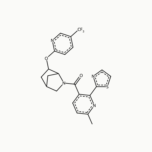 Cc1ccc(C(=O)N2CC3CC(Oc4ccc(C(F)(F)F)cn4)C2C3)c(-c2nccs2)n1